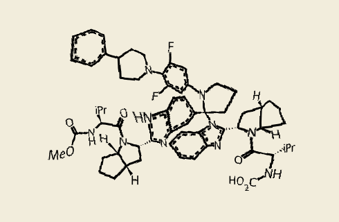 COC(=O)N[C@H](C(=O)N1[C@H](c2nc3cc([C@]4(n5c([C@@H]6C[C@@H]7CCC[C@@H]7N6C(=O)[C@@H](NC(=O)O)C(C)C)nc6ccccc65)CCCN4c4cc(F)c(N5CCC(c6ccccc6)CC5)c(F)c4)ccc3[nH]2)C[C@@H]2CCC[C@@H]21)C(C)C